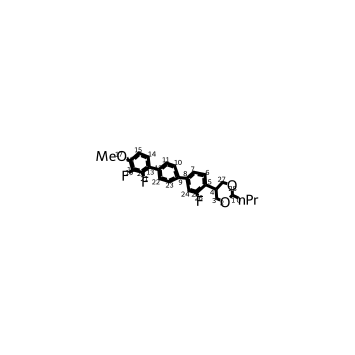 CCCC1OCC(c2ccc(-c3ccc(-c4ccc(OC)c(F)c4F)cc3)cc2F)CO1